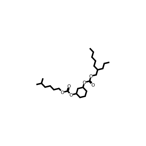 CCCCCC(CCC)COC(=O)OC1CCCC(OC(=O)OCCCCC(C)C)C1